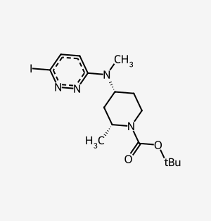 C[C@@H]1C[C@H](N(C)c2ccc(I)nn2)CCN1C(=O)OC(C)(C)C